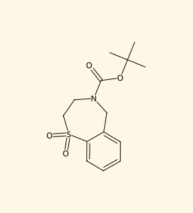 CC(C)(C)OC(=O)N1CCS(=O)(=O)c2ccccc2C1